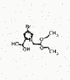 CCOC(Cn1cc(Br)cc1C(O)O)OCC